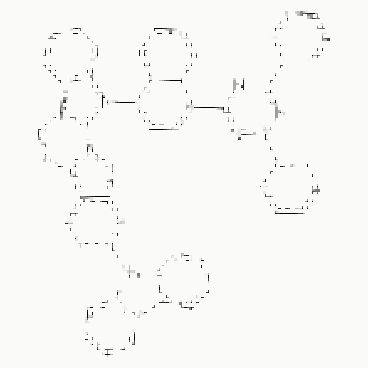 c1ccc(-c2nc(-c3ccccc3)nc(-c3ccc(-n4c5ccccc5c5ccc6c7ccc(-n8c9ccccc9c9ccccc98)cc7oc6c54)c4ccccc34)n2)cc1